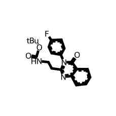 CC(C)(C)OC(=O)NCCc1nc2ccccc2c(=O)n1-c1ccc(F)cc1